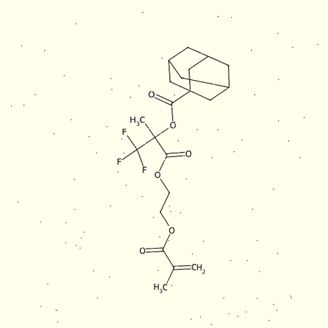 C=C(C)C(=O)OCCOC(=O)C(C)(OC(=O)C12CC3CC(CC(C3)C1)C2)C(F)(F)F